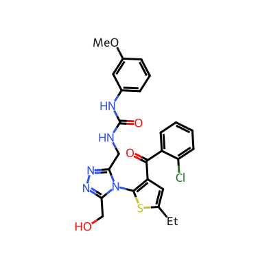 CCc1cc(C(=O)c2ccccc2Cl)c(-n2c(CO)nnc2CNC(=O)Nc2cccc(OC)c2)s1